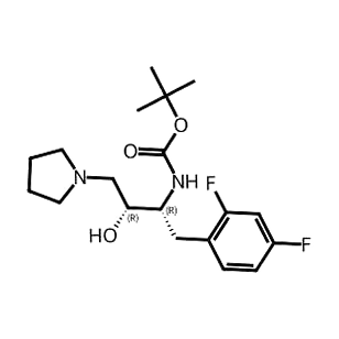 CC(C)(C)OC(=O)N[C@H](Cc1ccc(F)cc1F)[C@H](O)CN1CCCC1